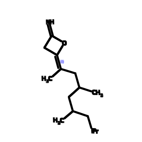 C/C(CC(C)CC(C)CC(C)C)=C1\CC(=N)O1